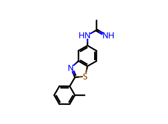 CC(=N)Nc1ccc2sc(-c3ccccc3C)nc2c1